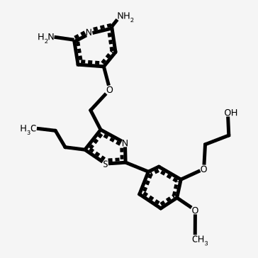 CCCc1sc(-c2ccc(OC)c(OCCO)c2)nc1COc1cc(N)nc(N)c1